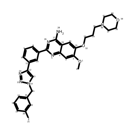 COc1cc2nc(-c3cccc(-c4cn(Cc5cccc(I)c5)nn4)c3)nc(N)c2cc1OCCCN1CCOCC1